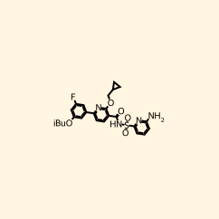 CC(C)COc1cc(F)cc(-c2ccc(C(=O)NS(=O)(=O)c3cccc(N)n3)c(OCC3CC3)n2)c1